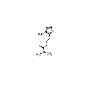 CN(C)C(=S)CCCc1nnnn1C